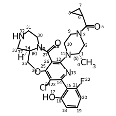 C[C@H]1CN(C(=O)C2CC2)CCN1c1nc(-c2c(O)cccc2F)c(Cl)c2c1C(=O)N1CCNC[C@@H]1CO2